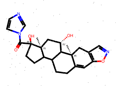 C[C@]12Cc3cnoc3C=C1CCC1C2[C@@H](O)C[C@@]2(C)C1CC[C@]2(O)C(=O)n1ccnc1